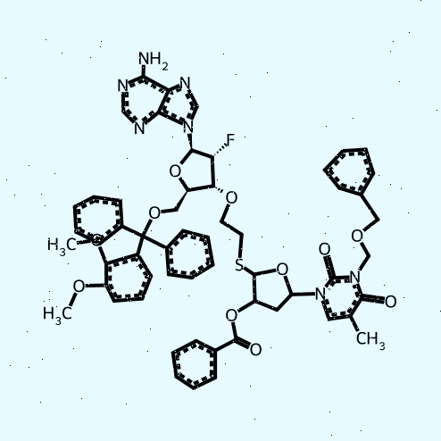 COc1cccc(C(OC[C@H]2O[C@@H](n3cnc4c(N)ncnc43)[C@H](F)[C@@H]2OCCSC2OC(n3cc(C)c(=O)n(COCc4ccccc4)c3=O)CC2OC(=O)c2ccccc2)(c2ccccc2)c2ccccc2)c1OC